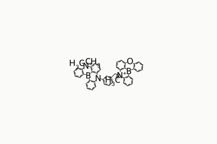 C[N+]1(C)c2ccccc2B2c3ccccc3N(c3cccc(C[N@+]4(C)c5ccccc5B5c6ccccc6Oc6cccc4c65)c3)c3cccc1c32